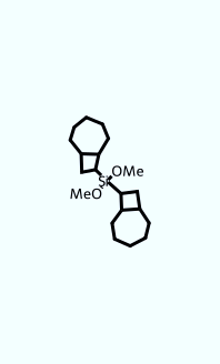 CO[Si](OC)(C1CC2CCCCCC21)C1CC2CCCCCC21